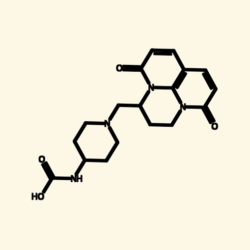 O=C(O)NC1CCN(CC2CCn3c(=O)ccc4ccc(=O)n2c43)CC1